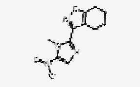 Cn1c([N+](=O)[O-])cnc1-c1noc2c1CCCC2